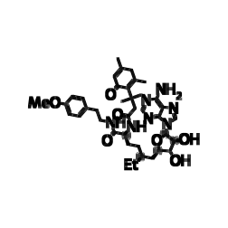 CC[C@@H](CC[C@H](NC(=O)CC(C)(C)C1=C(C)CC(C)=CC1=O)C(=O)NCCc1ccc(OC)cc1)C[C@H]1O[C@@H](n2cnc3c(N)ncnc32)[C@@H](O)C1O